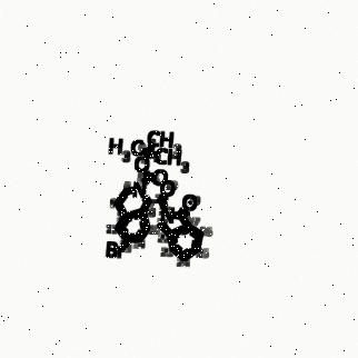 CC(C)(C)OC(=O)N1CCc2cc(Br)ccc2[C@H]1C(=O)N1Cc2ccccc2C1=O